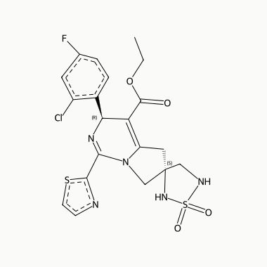 CCOC(=O)C1=C2C[C@@]3(CNS(=O)(=O)N3)CN2C(c2nccs2)=N[C@H]1c1ccc(F)cc1Cl